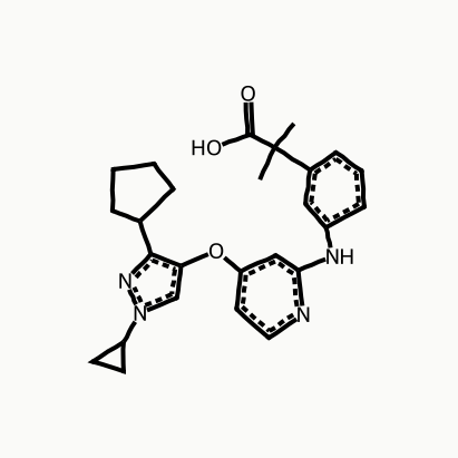 CC(C)(C(=O)O)c1cccc(Nc2cc(Oc3cn(C4CC4)nc3C3CCCC3)ccn2)c1